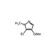 CCc1c(OC)[c]nn1C